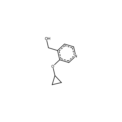 OCc1ccncc1OC1CC1